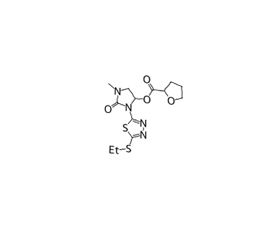 CCSc1nnc(N2C(=O)N(C)CC2OC(=O)C2CCCO2)s1